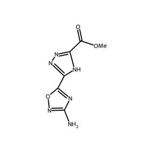 COC(=O)c1nnc(-c2nc(N)no2)[nH]1